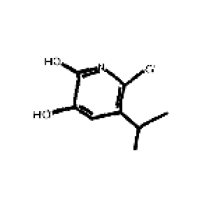 CC(C)c1cc(O)c(O)nc1Cl